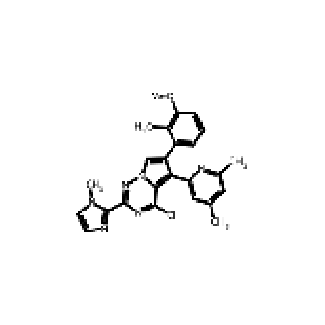 COc1cccc(-c2cn3nc(-c4nccn4C)nc(Cl)c3c2-c2cc(C)cc(C)n2)c1C